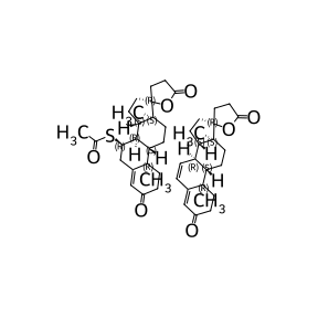 CC(=O)S[C@@H]1CC2=CC(=O)CC[C@]2(C)[C@H]2CC[C@@]3(C)[C@@H](CC[C@@]34CCC(=O)O4)[C@H]12.C[C@]12CCC(=O)C=C1C=C[C@@H]1[C@@H]2CC[C@@]2(C)[C@H]1CC[C@@]21CCC(=O)O1